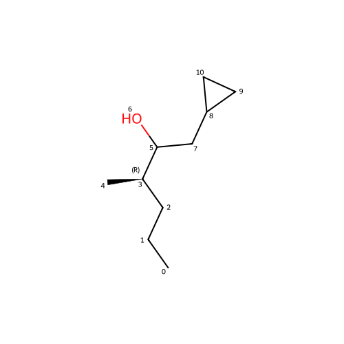 CCC[C@@H](C)C(O)CC1CC1